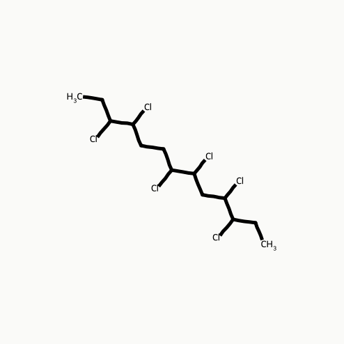 CCC(Cl)C(Cl)CCC(Cl)C(Cl)CC(Cl)C(Cl)CC